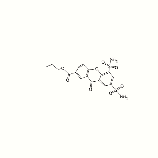 CCCOC(=O)c1ccc2oc3c(S(N)(=O)=O)cc(S(N)(=O)=O)cc3c(=O)c2c1